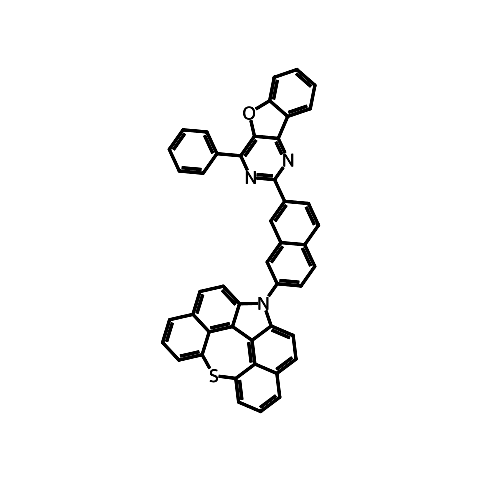 c1ccc(-c2nc(-c3ccc4ccc(-n5c6ccc7cccc8sc9cccc%10ccc5c(c%109)c6c78)cc4c3)nc3c2oc2ccccc23)cc1